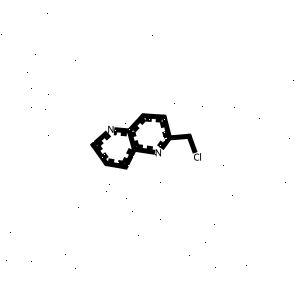 ClCc1ccc2ncccc2n1